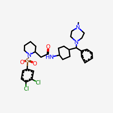 CN1CCN(C(c2ccccc2)C2CCC(NC(=O)CC3CCCCN3S(=O)(=O)c3ccc(Cl)c(Cl)c3)CC2)CC1